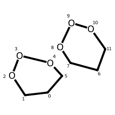 C1COOOC1.C1COOOC1